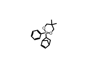 CC1(C)CO[Si](c2ccccc2)(C2CC3C=CC2C3)OC1